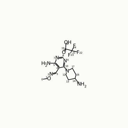 CON=Cc1c(N)ncnc1N1CCC(N)CC1.O=C(O)C(F)(F)F